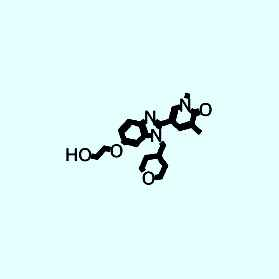 Cc1cc(-c2nc3ccc(OCCO)cc3n2CC2CCOCC2)cn(C)c1=O